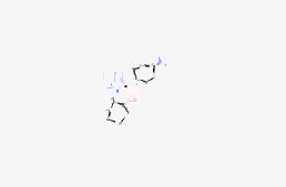 Nc1ccc(C2(N)Nc3ccccc3O2)cc1